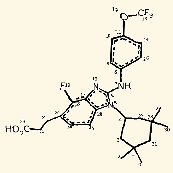 CC1(C)CC(n2c(Nc3ccc(OC(F)(F)F)cc3)nc3c(F)c(CCC(=O)O)ccc32)CC(C)(C)C1